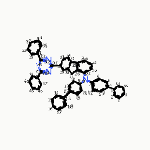 c1ccc(-c2ccc(N(c3ccc(-c4ccccc4)cc3)c3cccc4c3Cc3cc(-c5nc(-c6ccccc6)nc(-c6ccccc6)n5)ccc3-4)cc2)cc1